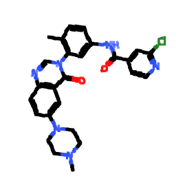 Cc1ccc(NC(=O)c2ccnc(Cl)c2)cc1-n1cnc2ccc(N3CCN(C)CC3)cc2c1=O